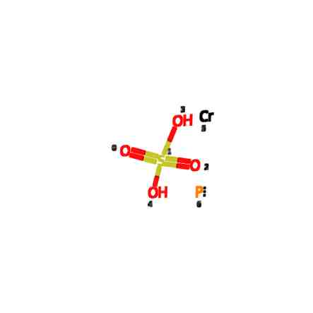 O=S(=O)(O)O.[Cr].[P]